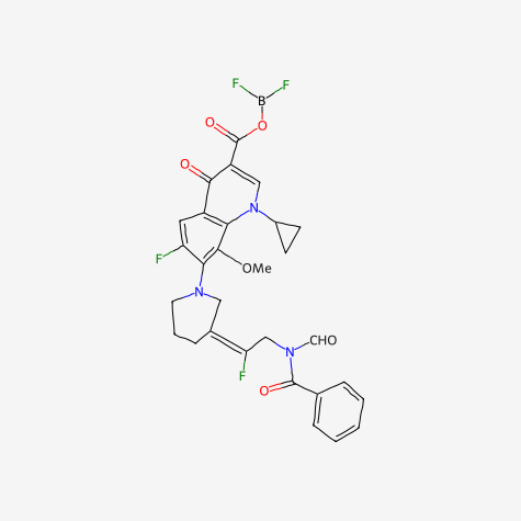 COc1c(N2CCC/C(=C(\F)CN(C=O)C(=O)c3ccccc3)C2)c(F)cc2c(=O)c(C(=O)OB(F)F)cn(C3CC3)c12